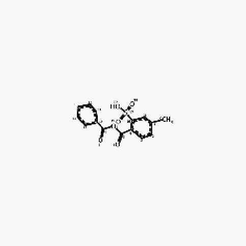 Cc1ccc(C(=O)OC(=O)c2ccccc2)c(S(=O)(=O)O)c1